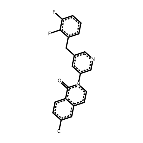 O=c1c2ccc(Cl)cc2ccn1-c1cncc(Cc2cccc(F)c2F)c1